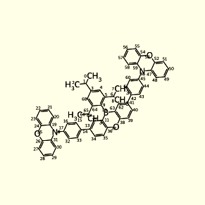 CC(C)c1cc(C(C)C)c(B2c3cc(-c4ccc(N5c6ccccc6Oc6ccccc65)cc4)ccc3Oc3ccc(-c4ccc(N5c6ccccc6Oc6ccccc65)cc4)cc32)c(C(C)C)c1